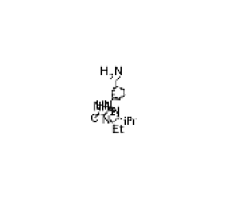 CCc1nc(C(N)=O)c(Nc2cccc(CCN)c2)nc1C(C)C